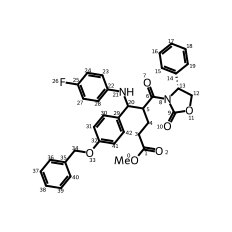 COC(=O)CCC(C(=O)N1C(=O)OC[C@H]1c1ccccc1)C(Nc1ccc(F)cc1)c1ccc(OCc2ccccc2)cc1